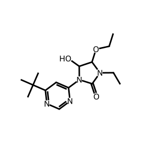 CCOC1C(O)N(c2cc(C(C)(C)C)ncn2)C(=O)N1CC